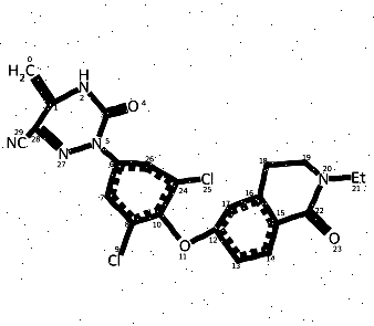 C=C1NC(=O)N(c2cc(Cl)c(Oc3ccc4c(c3)CCN(CC)C4=O)c(Cl)c2)N=C1C#N